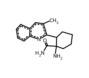 Cc1cc2ccccc2nc1C1CCCCC1(N)C(N)=O